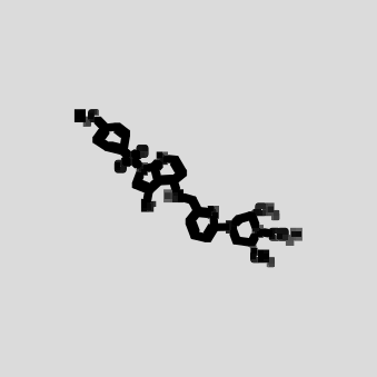 Cc1ccc(S(=O)(=O)n2cc(Br)c3c(NCc4cccc(N5C[C@@H](C)N(C(=O)O)[C@@H](C)C5)n4)ccnc32)cc1